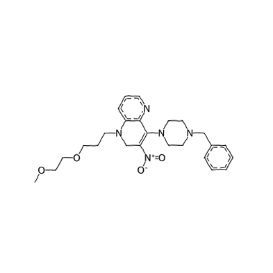 COCCOCCCN1CC([N+](=O)[O-])=C(N2CCN(Cc3ccccc3)CC2)c2ncccc21